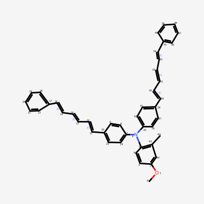 COc1ccc(N(c2ccc(/C=C/C=C/C=C/c3ccccc3)cc2)c2ccc(/C=C/C=C/C=C/c3ccccc3)cc2)c(C)c1